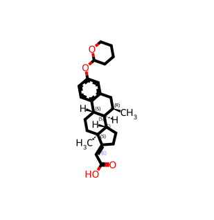 C[C@@H]1Cc2cc(OC3CCCCO3)ccc2[C@H]2CC[C@]3(C)/C(=C/C(=O)O)CC[C@H]3[C@H]12